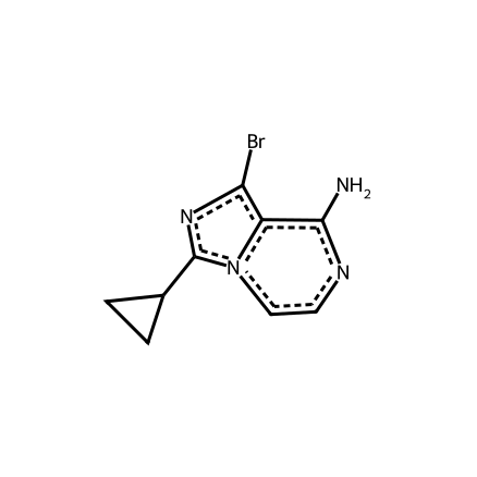 Nc1nccn2c(C3CC3)nc(Br)c12